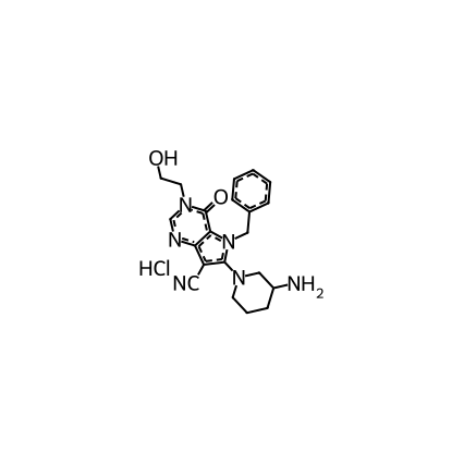 Cl.N#Cc1c(N2CCCC(N)C2)n(Cc2ccccc2)c2c(=O)n(CCO)cnc12